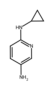 Nc1ccc(NC2CC2)nc1